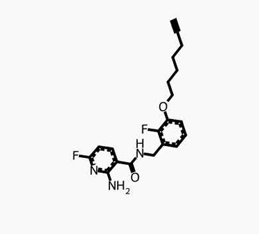 C#CCCCCCOc1cccc(CNC(=O)c2ccc(F)nc2N)c1F